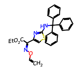 C=CO/N=C(/C(=O)OCC)c1csc(NC(c2ccccc2)(c2ccccc2)c2ccccc2)n1